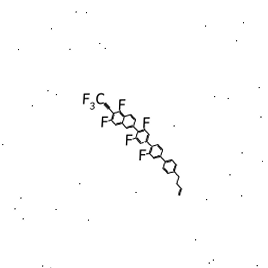 C=CCCc1ccc(-c2ccc(-c3cc(F)c(-c4ccc5c(F)c(C#CC(F)(F)F)c(F)cc5c4)c(F)c3)c(F)c2)cc1